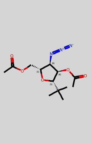 CC(=O)OC[C@H]1O[C@@H](C(C)(C)C)[C@H](OC(C)=O)[C@@H]1N=[N+]=[N-]